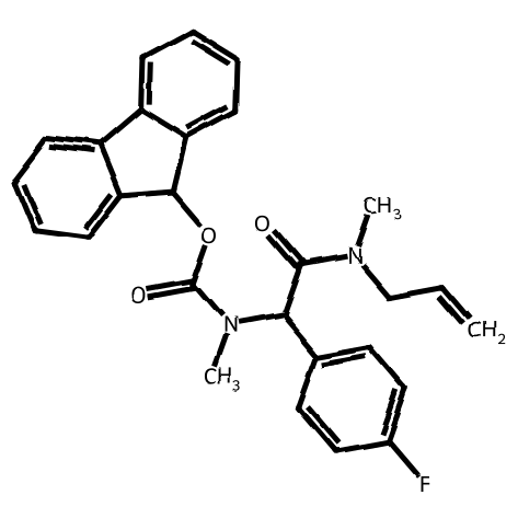 C=CCN(C)C(=O)C(c1ccc(F)cc1)N(C)C(=O)OC1c2ccccc2-c2ccccc21